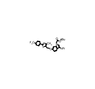 CCCc1cn(CC(=O)OC(C)(C)C)c2cc(OCCc3sc(-c4ccc(C(F)(F)F)cc4)nc3C)ccc12